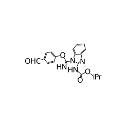 CC(C)OC(=O)Nc1nc2ccccc2n1C(=N)Oc1ccc(C=O)cc1